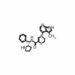 Cc1c[nH]c2nccc(N3C=C(C(=O)NC(c4ccccc4)[C@@H]4CCCN4)SCC3)c12